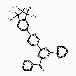 CC1(C)c2ccc(-c3ccc(-c4nc(C(=O)c5ccccc5)nc(-c5ccccc5)n4)cn3)cc2C(C)(C)C1(C)C